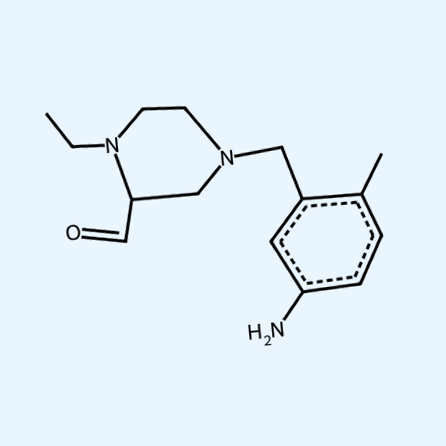 CCN1CCN(Cc2cc(N)ccc2C)CC1C=O